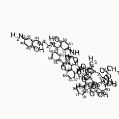 CC(=O)O[C@H]1C(=O)[C@@]2(C)[C@H]([C@H](OC(=O)c3ccccc3)[C@]3(O)C[C@H](OC(=O)[C@H](OC(=O)Nc4ccc(O)c(/C=N/CC/N=C/c5cc(N)ccc5O)c4)[C@@H](NC(=O)c4ccccc4)c4ccccc4)C(C)=C1C3(C)C)[C@]1(OC(C)=O)CO[C@@H]1C[C@@H]2O